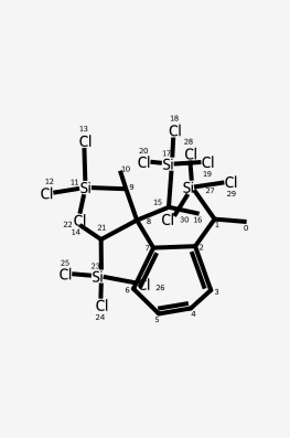 CC(c1ccccc1C(C(C)[Si](Cl)(Cl)Cl)(C(C)[Si](Cl)(Cl)Cl)C(C)[Si](Cl)(Cl)Cl)[Si](Cl)(Cl)Cl